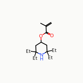 C=C(C)C(=O)OC1CC(CC)(CC)NC(CC)(CC)C1